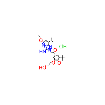 CCOc1cc(C(C)C)c2nn(CC(=O)c3cc(OCCCO)c(OC)c(C(C)(C)C)c3)c(=N)n2n1.Cl